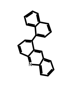 c1ccc2nc3cccc(-c4cccc5ccccc45)c3cc2c1